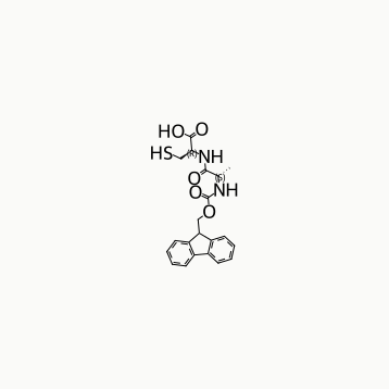 C[C@H](NC(=O)OCC1c2ccccc2-c2ccccc21)C(=O)N[C@@H](CS)C(=O)O